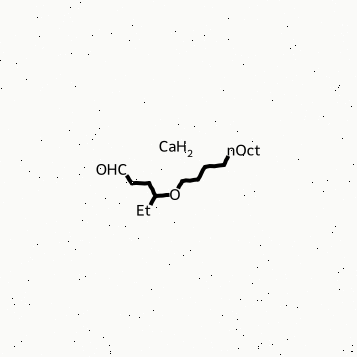 CCCCCCCCCCCCOC(CC)CCC=O.[CaH2]